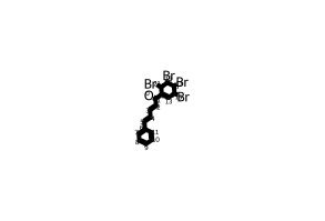 O=C(C=CC=Cc1ccccc1)C1=CC(Br)C(Br)C(Br)C1Br